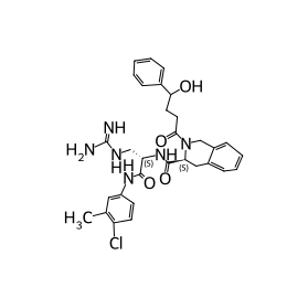 Cc1cc(NC(=O)[C@H](CNC(=N)N)NC(=O)[C@@H]2Cc3ccccc3CN2C(=O)CCC(O)c2ccccc2)ccc1Cl